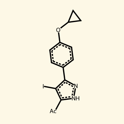 CC(=O)c1[nH]nc(-c2ccc(OC3CC3)cc2)c1I